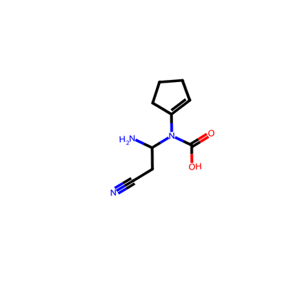 N#CCC(N)N(C(=O)O)C1=CCCC1